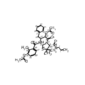 C=CCNC(=O)[C@H]1N(C(=O)C(OC(C)=O)C(Cc2ccccc2)NC(=O)c2cccc(OC(C)=O)c2C)CSC1(C)C